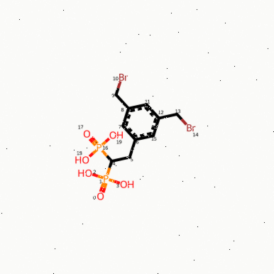 O=P(O)(O)C(Cc1cc(CBr)cc(CBr)c1)P(=O)(O)O